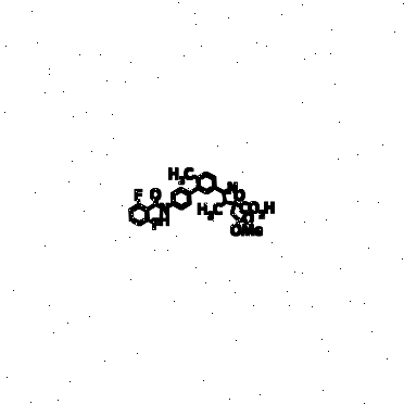 COC(=O)CC1(C(=O)O)ON=C(c2ccc(C)c(-c3ccc(NC(=O)c4c(F)cccc4F)cc3)c2)C1C